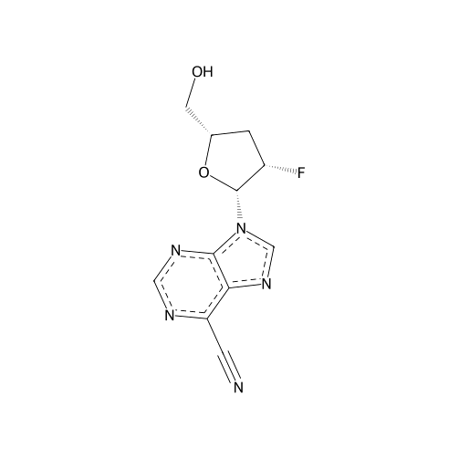 N#Cc1ncnc2c1ncn2[C@@H]1O[C@H](CO)C[C@@H]1F